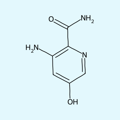 NC(=O)c1ncc(O)cc1N